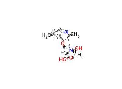 CB(O)N1C[C@H](Oc2cc(C)nc3ccc(C)cc23)C[C@H]1C(=O)O